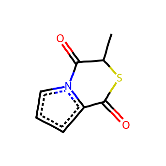 CC1SC(=O)c2cccn2C1=O